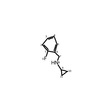 Fc1ccccc1CNC1CC1